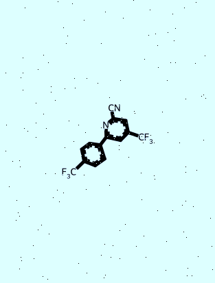 N#Cc1cc(C(F)(F)F)cc(-c2ccc(C(F)(F)F)cc2)n1